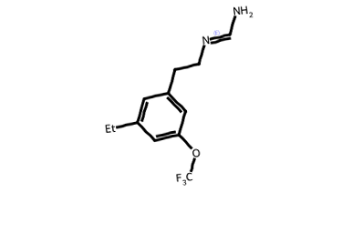 CCc1cc(CC/N=C/N)cc(OC(F)(F)F)c1